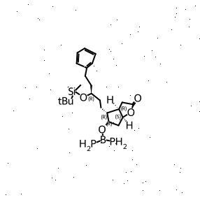 CC(C)(C)[Si](C)(C)O[C@@H](CCc1ccccc1)CC[C@@H]1[C@H]2CC(=O)O[C@H]2C[C@H]1OB(P)P